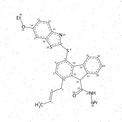 CC=CCc1ccc(Sc2nc3ccc(OCC)cc3s2)c2c1C(C(=O)NCCC)c1ccccc1-2